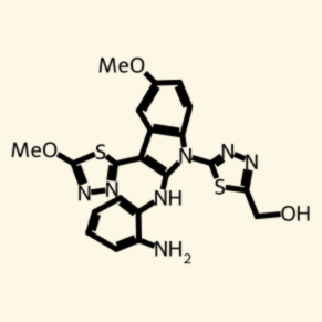 COc1ccc2c(c1)c(-c1nnc(OC)s1)c(Nc1ccccc1N)n2-c1nnc(CO)s1